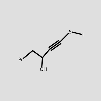 CC(C)CC(O)C#CSI